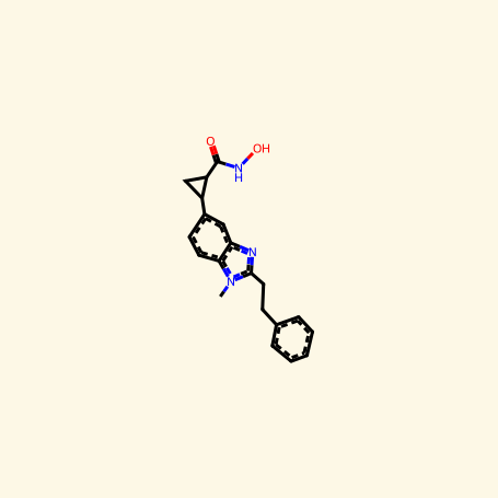 Cn1c(CCc2ccccc2)nc2cc(C3CC3C(=O)NO)ccc21